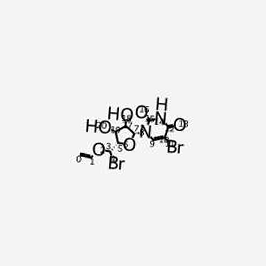 C=COC(Br)[C@H]1O[C@@H](n2cc(Br)c(=O)[nH]c2=O)[C@H](O)[C@@H]1O